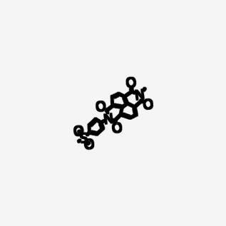 CN1C(=O)c2ccc3c4c(ccc(c24)C1=O)C(=O)N(c1ccc(S(C)(=O)=O)cc1)C3=O